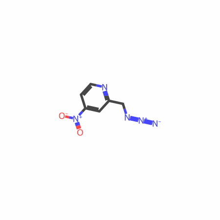 [N-]=[N+]=NCc1cc([N+](=O)[O-])ccn1